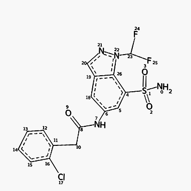 NS(=O)(=O)c1cc(NC(=O)Cc2ccccc2Cl)cc2cnn(C(F)F)c12